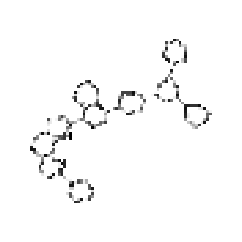 c1ccc(-c2cc(-c3ccccc3)cc(-c3ccc(-c4ccc(-c5ccc6ccc7ccc(-c8ccccc8)nc7c6n5)c5ccccc45)cc3)c2)cc1